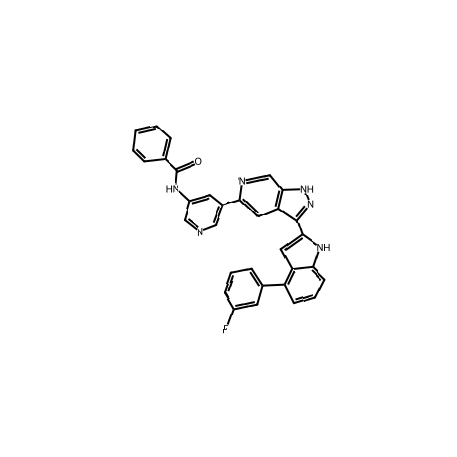 O=C(Nc1cncc(-c2cc3c(-c4cc5c(-c6cccc(F)c6)cccc5[nH]4)n[nH]c3cn2)c1)c1ccccc1